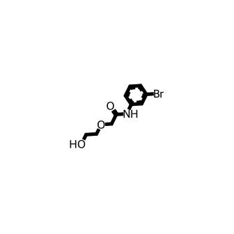 O=C(COCCO)Nc1cccc(Br)c1